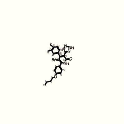 CCCCOc1ccc(-c2[nH]c(=O)c(-c3nn[nH]n3)c(-c3ccc(C)c(C)c3)c2Br)cc1